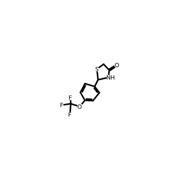 O=C1CSC(c2ccc(OC(F)(F)F)cc2)N1